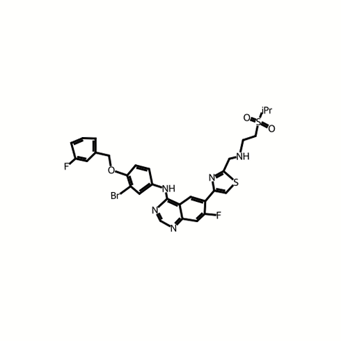 CC(C)S(=O)(=O)CCNCc1nc(-c2cc3c(Nc4ccc(OCc5cccc(F)c5)c(Br)c4)ncnc3cc2F)cs1